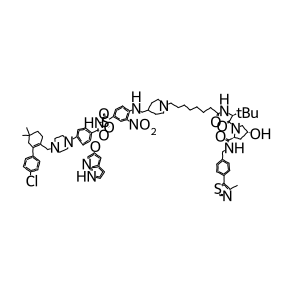 Cc1ncsc1-c1ccc(CNC(=O)[C@@H]2C[C@@H](O)CN2C(=O)[C@@H](NC(=O)CCCCCCCN2CCC(CNc3ccc(S(=O)(=O)NC(=O)c4ccc(N5CCN(CC6=C(c7ccc(Cl)cc7)CC(C)(C)CC6)CC5)cc4Oc4cnc5[nH]ccc5c4)cc3[N+](=O)[O-])CC2)C(C)(C)C)cc1